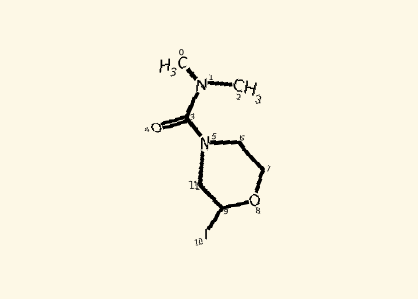 CN(C)C(=O)N1CCOC(I)C1